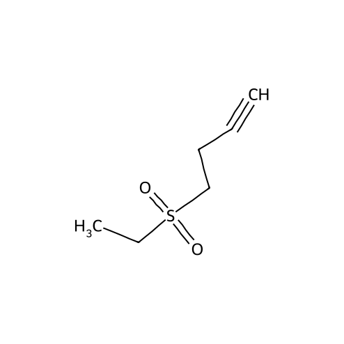 C#CCCS(=O)(=O)CC